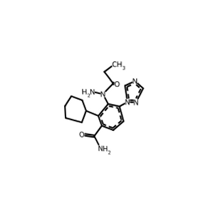 CCC(=O)N(N)c1c(-n2cncn2)ccc(C(N)=O)c1C1CCCCC1